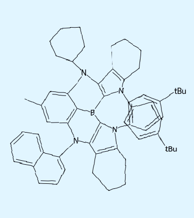 Cc1cc2c3c(c1)N(C1CCCCC1)c1c4c(n(-c5ccc(C(C)(C)C)cc5)c1B3c1c(c3c(n1-c1ccc(C(C)(C)C)cc1)CCCC3)N2c1cccc2ccccc12)CCCC4